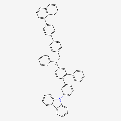 C1=Cc2cccc(-c3ccc(-c4ccc(C[C@@H](c5ccccc5)c5ccc(-c6cccc(-n7c8ccccc8c8ccccc87)c6)c(-c6ccccc6)c5)cc4)cc3)c2CC1